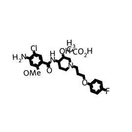 CC(=O)O.COc1cc(N)c(Cl)cc1C(=O)NC1CCN(CCCOc2ccc(F)cc2)CC1O